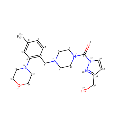 O=C(N1CCN(Cc2ccc(C(F)(F)F)cc2N2CCOCC2)CC1)n1ccc(CO)n1